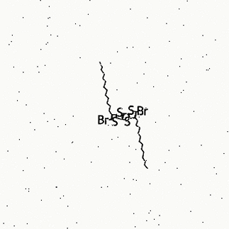 CCCCCCCCCCCCCc1c(Br)sc2c1sc1c3sc(Br)c(CCCCCCCCCCCCC)c3sc21